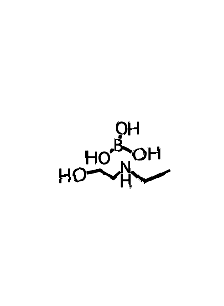 CCNCCO.OB(O)O